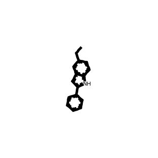 CCc1ccc2[nH]c(-c3ccccc3)cc2c1